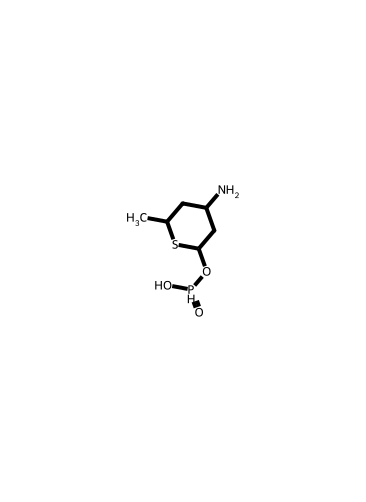 CC1CC(N)CC(O[PH](=O)O)S1